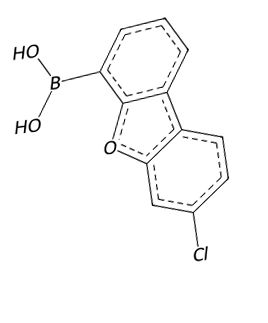 OB(O)c1cccc2c1oc1cc(Cl)ccc12